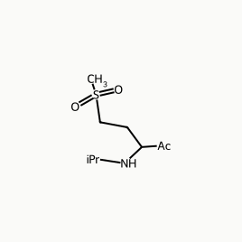 CC(=O)C(CCS(C)(=O)=O)NC(C)C